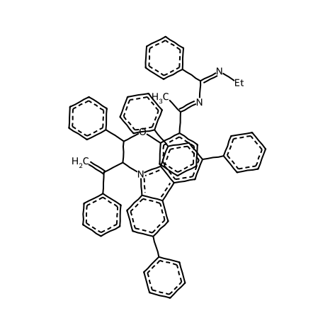 C=C(c1ccccc1)C(C(Oc1ccccc1/C(C)=N/C(=N\CC)c1ccccc1)c1ccccc1)n1c2ccc(-c3ccccc3)cc2c2cc(-c3ccccc3)cc(-c3ccccc3)c21